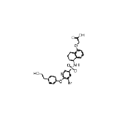 O=C(O)COc1cccc2c1CCCC2NS(=O)(=O)c1cnc(Oc2ccc(CCO)cc2)c(Br)c1